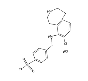 CC(C)S(=O)(=O)c1ccc(CNc2c(Cl)ccc3c2CCNCC3)cc1.Cl